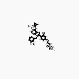 Cc1ccnc(Cn2c(-c3ccc(OCCS(C)(=O)=O)cc3Cl)nc3c(OC4(C)CC4)ncnc32)c1